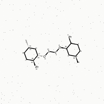 CC(C)C1CC[C@@H](C)C[C@H]1OSSO[C@H]1C[C@@H](C)CC[C@@H]1C(C)C